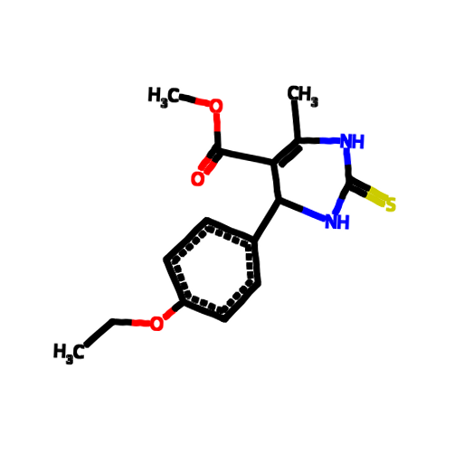 CCOc1ccc(C2NC(=S)NC(C)=C2C(=O)OC)cc1